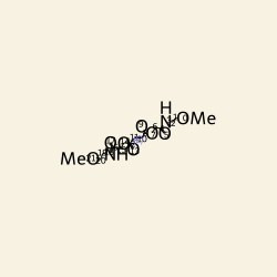 COCCNC(=O)COC(=O)/C=C/C(=O)OCC(=O)NCCOC